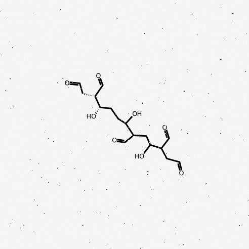 O=CCC(C=O)C(O)CC(C=O)C(O)CC[C@H](O)[C@@H](C=O)CC=O